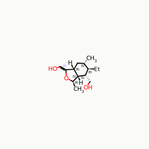 CC[C@H]1[C@H](CO)[C@@H]2[C@@H](C)O/C(=C\O)[C@@H]2C[C@@H]1C